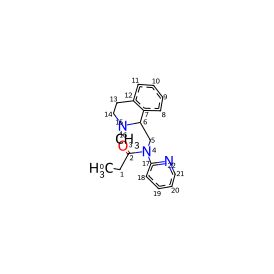 CCC(=O)N(CC1c2ccccc2CCN1C)c1ccccn1